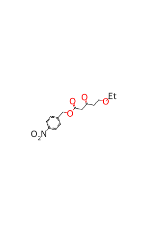 CCOCCC(=O)CC(=O)OCc1ccc([N+](=O)[O-])cc1